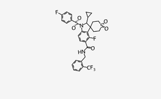 O=C(NCc1ccccc1C(F)(F)F)c1ccc2c(c1F)C1(CCS(=O)(=O)CC1)C(C1CC1)N2S(=O)(=O)c1ccc(F)cc1